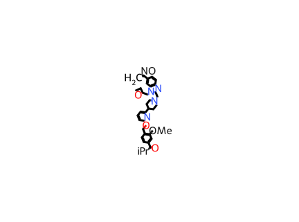 C=C(N=O)c1ccc2nc(CN3CCC(c4cccc(OCc5ccc(C(=O)C(C)C)cc5OC)n4)CC3)n(CC3CCO3)c2c1